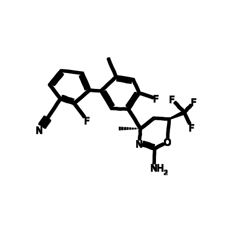 Cc1cc(F)c([C@@]2(C)C[C@@H](C(F)(F)F)OC(N)=N2)cc1-c1cccc(C#N)c1F